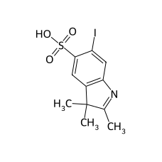 CC1=Nc2cc(I)c(S(=O)(=O)O)cc2C1(C)C